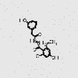 CSc1cc(O)cc(Cl)c1C(=O)NNC(=O)Cc1cccc(O)c1